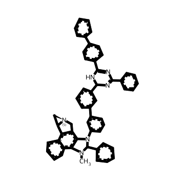 CN1c2c(c3c(c4ccccc24)C2C[N@@]2C3)N(c2cccc(-c3cccc(C4N=C(c5ccccc5)N=C(c5ccc(-c6ccccc6)cc5)N4)c3)c2)C1c1ccccc1